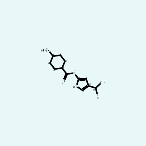 CCCCCCC1CCC(C(=O)Oc2cc(C(F)F)cs2)CC1